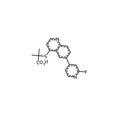 CC(C)(Sc1ccnc2ccc(-c3ccnc(F)c3)cc12)C(=O)O